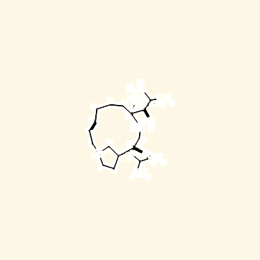 CC(C)N[C@@]12CCN(C/C=C/CCC[C@](C)(C(=O)C(C)C)NCC1=O)C2